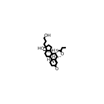 CCC(=O)S[C@H]1[C@@H]2[C@H](CC[C@@]3(C)[C@H]2CC[C@@]3(O)CCCO)[C@@]2(C)CCC(=O)C=C2[C@H]1C